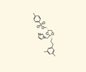 Cc1ccc(S(=O)(=O)OC[C@@H]2CO[C@@](CCCc3cc(C)cc(C)c3)(Cn3ccnc3)O2)cc1